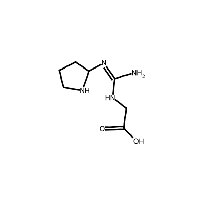 NC(=NC1CCCN1)NCC(=O)O